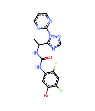 CC(NC(=O)Nc1cc(Br)c(F)cc1F)c1ncnn1-c1ncccn1